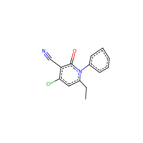 CCc1cc(Cl)c(C#N)c(=O)n1-c1ccccc1